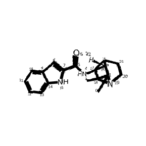 CC1(C)[C@H](NC(=O)c2cc3ccccc3[nH]2)C2CCN1CC2